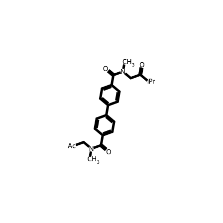 CC(=O)CN(C)C(=O)c1ccc(-c2ccc(C(=O)N(C)CC(=O)C(C)C)cc2)cc1